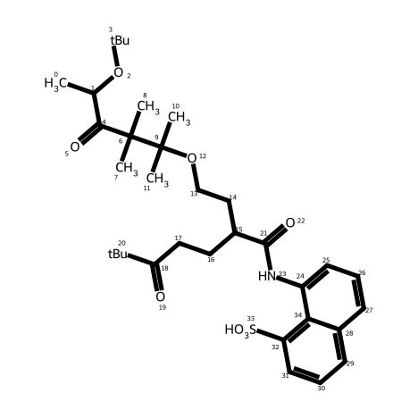 CC(OC(C)(C)C)C(=O)C(C)(C)C(C)(C)OCCC(CCC(=O)C(C)(C)C)C(=O)Nc1cccc2cccc(S(=O)(=O)O)c12